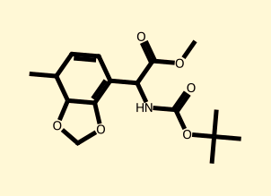 COC(=O)C(NC(=O)OC(C)(C)C)C1=C2OCOC2C(C)C=C1